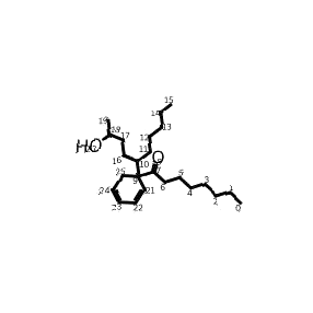 CCCCCCCC(=O)C1(C(CCCCC)CCC(C)O)C=CC=CC1